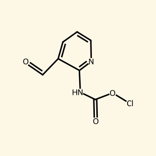 O=Cc1cccnc1NC(=O)OCl